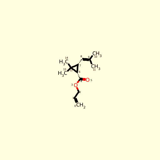 C=CCOC(=O)[C@H]1[C@@H](C=C(C)C)C1(C)C